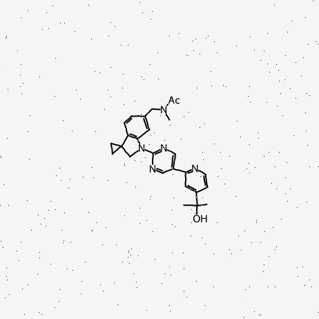 CC(=O)N(C)Cc1ccc2c(c1)N(c1ncc(-c3cc(C(C)(C)O)ccn3)cn1)CC21CC1